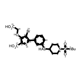 CCCCS(=O)(=O)N1CCC([AsH]c2cccc(-c3sc(C(=O)O)c(OCC(=O)O)c3Br)c2)CC1